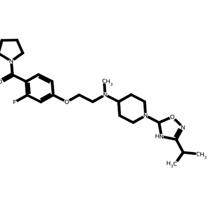 CC(C)C1=NOC(N2CCC(N(C)CCOc3ccc(C(=O)N4CCCC4)c(F)c3)CC2)N1